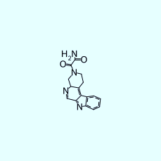 NC(=O)C(=O)N1CCC2=C3C(=Nc4ccccc43)C=NC2C1